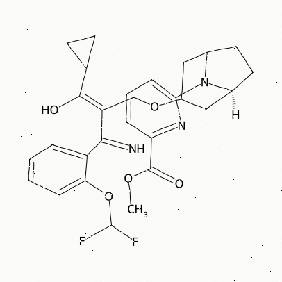 COC(=O)c1cccc(N2C3CC[C@H]2CC(OC/C(C(=N)c2ccccc2OC(F)F)=C(/O)C2CC2)C3)n1